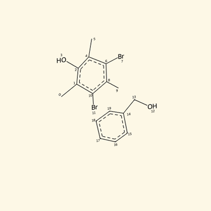 Cc1c(O)c(C)c(Br)c(C)c1Br.OCc1ccccc1